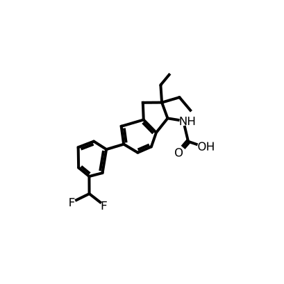 CCC1(CC)Cc2cc(-c3cccc(C(F)F)c3)ccc2C1NC(=O)O